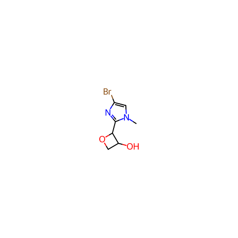 Cn1cc(Br)nc1C1OCC1O